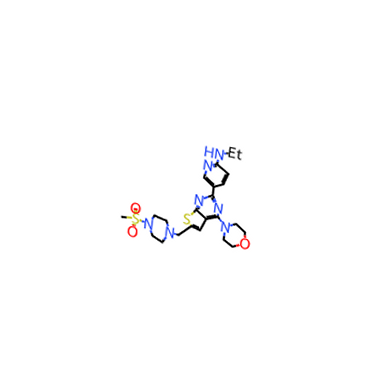 CCNc1ccc(-c2nc(N3CCOCC3)c3cc(CN4CCN(S(C)(=O)=O)CC4)sc3n2)cn1